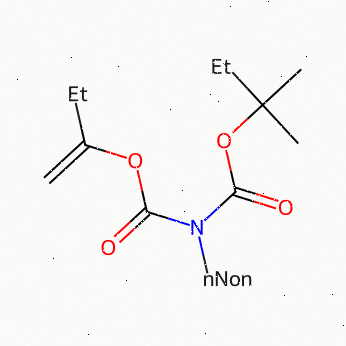 C=C(CC)OC(=O)N(CCCCCCCCC)C(=O)OC(C)(C)CC